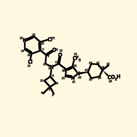 CC1(C)CC(N(CC(=O)c2c(Cl)cncc2Cl)C(=O)c2cnn([C@H]3CC[C@](C)(C(=O)O)CC3)c2C(F)(F)F)C1